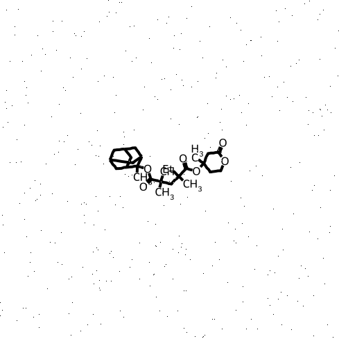 CCC(C)(CC(C)(C)C(=O)OC1(C)C2CC3CC(C2)CC1C3)C(=O)OC1(C)CCOC(=O)C1